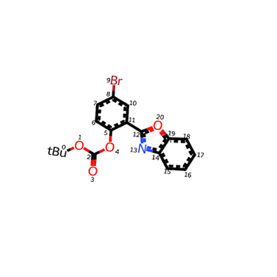 CC(C)(C)OC(=O)Oc1ccc(Br)cc1-c1nc2ccccc2o1